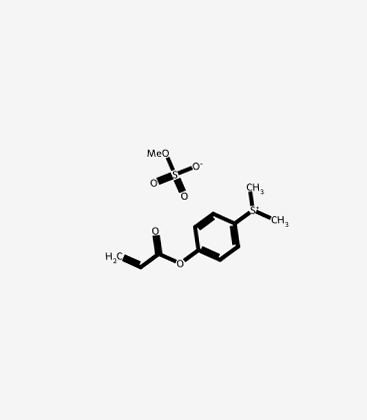 C=CC(=O)Oc1ccc([S+](C)C)cc1.COS(=O)(=O)[O-]